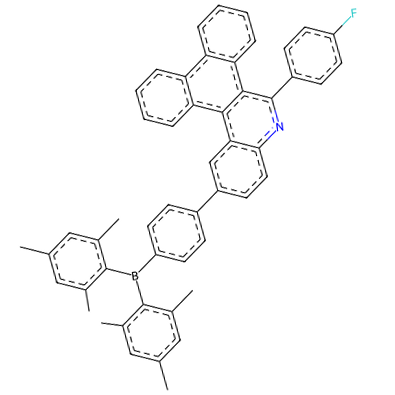 Cc1cc(C)c(B(c2ccc(-c3ccc4nc(-c5ccc(F)cc5)c5c6ccccc6c6ccccc6c5c4c3)cc2)c2c(C)cc(C)cc2C)c(C)c1